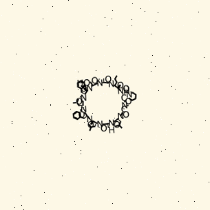 CC[C@H](C)[C@H]1C(=O)N[C@H](C(=O)N2CCCCC2)CC(=O)N(C)CC(=O)N(C)[C@@H](CC(C)C)C(=O)N[C@@H](C)C(=O)N(C)[C@@H](CC(C)C)C(=O)N(C)[C@@H](Cc2ccccc2)C(=O)N(C)[C@@H](CC(C)C)C(=O)N(C)[C@@H](Cc2ccccc2)C(=O)N[C@@H]([C@@H](C)O)C(=O)N(C)[C@@H](C)C(=O)N1C